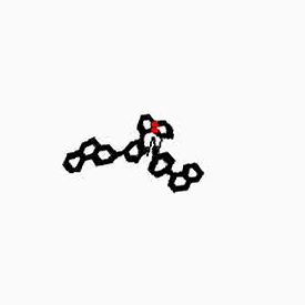 c1ccc(-c2cc(-c3ccc4c(ccc5ccccc54)c3)ccc2N(c2ccccc2)c2ccc(-c3cccc4ccccc34)cc2)cc1